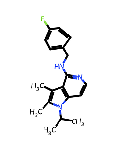 Cc1c(C)n(C(C)C)c2ccnc(NCc3ccc(F)cc3)c12